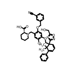 CC1(C)C(c2ccccc2)=CC=CC1(COc1cc(OCc2cccc(C#N)c2)c(CN2CCCC[C@H]2C(=O)O)cc1Cl)c1noc(CO)n1